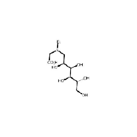 CCN(CC(=O)O)C[C@H](O)[C@@H](O)[C@H](O)[C@H](O)CO